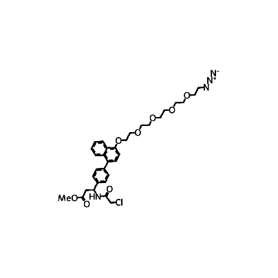 COC(=O)C[C@H](NC(=O)CCl)c1ccc(-c2ccc(OCCOCCOCCOCCOCCN=[N+]=[N-])c3ccccc23)cc1